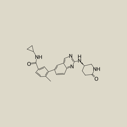 Cc1ccc(C(=O)NC2CC2)cc1-c1ccc2nc(N[C@@H]3CCC(=O)NC3)ncc2c1